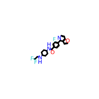 O=C(N[C@H]1CC[C@H](NCC(F)F)CC1)c1ccc(-c2nccc3occc23)c(F)c1